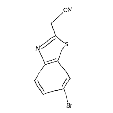 N#CCc1nc2ccc(Br)cc2s1